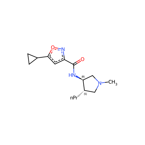 CCC[C@H]1CN(C)C[C@@H]1NC(=O)c1cc(C2CC2)on1